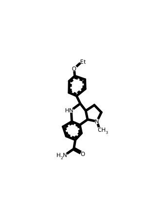 CCOc1ccc(C2Nc3ccc(C(N)=O)cc3C3C2CCN3C)cc1